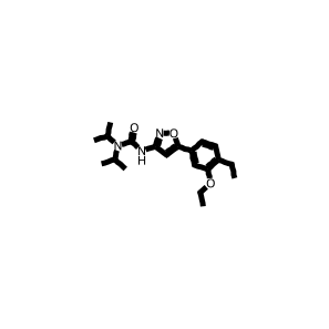 CCOc1cc(-c2cc(NC(=O)N(C(C)C)C(C)C)no2)ccc1CC